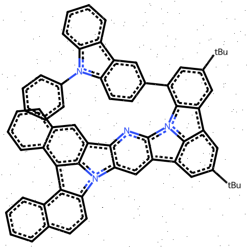 CC(C)(C)c1cc(-c2ccc3c(c2)c2ccccc2n3-c2ccccc2)c2c(c1)c1cc(C(C)(C)C)cc3c4cc5c(nc4n2c31)c1cc2ccccc2c2c3c4ccccc4ccc3n5c12